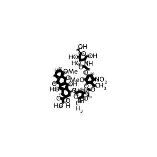 COc1cc(C(C)OC(=O)N2CO[C@@H]3[C@H](C)O[C@@H](O[C@H]4C[C@](O)(C(=O)CO)Cc5c(O)c6c(c(O)c54)C(=O)c4c(OC)cccc4C6=O)C[C@@H]32)c([N+](=O)[O-])cc1OCC(=O)N[C@@H]1[C@@H](O)[C@H](O)[C@@H](CO)O[C@H]1O